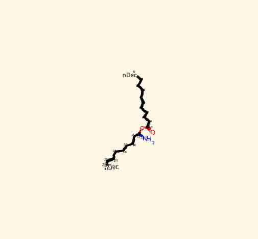 CCCCCCCCCCCCCCCCCCCC(=O)OC(N)CCCCCCCCCCCCCCCCC